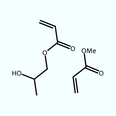 C=CC(=O)OC.C=CC(=O)OCC(C)O